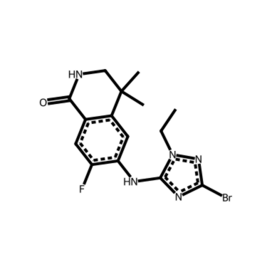 CCn1nc(Br)nc1Nc1cc2c(cc1F)C(=O)NCC2(C)C